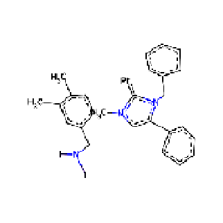 Cc1ccc(CN(I)I)cc1C.Cn1cc(-c2ccccc2)n(Cc2ccccc2)[c]1=[Pt]